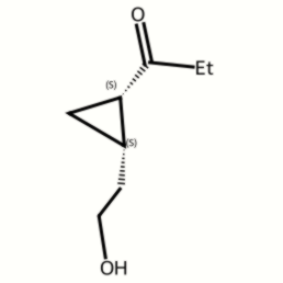 CCC(=O)[C@H]1C[C@H]1CCO